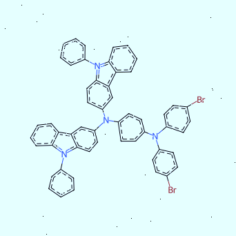 Brc1ccc(N(c2ccc(Br)cc2)c2ccc(N(c3ccc4c(c3)c3ccccc3n4-c3ccccc3)c3ccc4c(c3)c3ccccc3n4-c3ccccc3)cc2)cc1